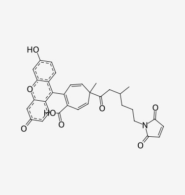 CC(CCCN1C(=O)C=CC1=O)CC(=O)C1(C)C=CC(C(=O)O)=C(c2c3ccc(=O)cc-3oc3cc(O)ccc23)C=C1